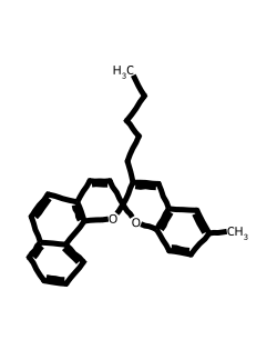 CCCCCC1=Cc2cc(C)ccc2OC12C=Cc1ccc3ccccc3c1O2